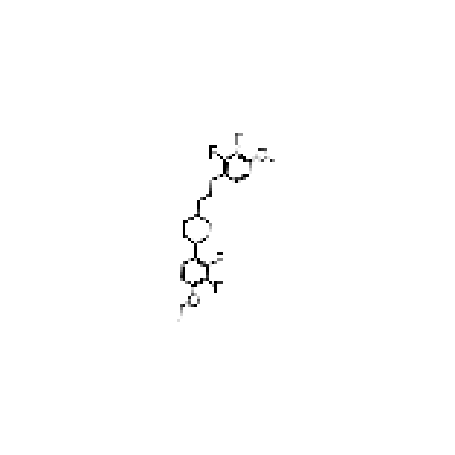 CCOc1ccc(C2CCC(CCCc3ccc(OC)c(F)c3F)CC2)c(F)c1F